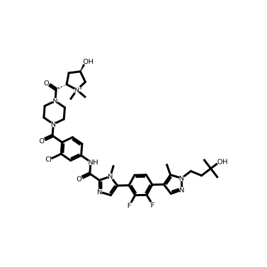 Cc1c(-c2ccc(-c3cnc(C(=O)Nc4ccc(C(=O)N5CCN(C(=O)[C@@H]6C[C@@H](O)C[N+]6(C)C)CC5)c(Cl)c4)n3C)c(F)c2F)cnn1CCC(C)(C)O